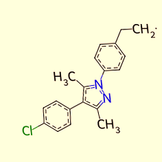 [CH2]Cc1ccc(-n2nc(C)c(-c3ccc(Cl)cc3)c2C)cc1